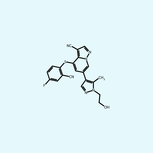 Cc1c(-c2cc(Sc3ccc(F)cc3C#N)c3c(C#N)cnn3c2)cnn1CCO